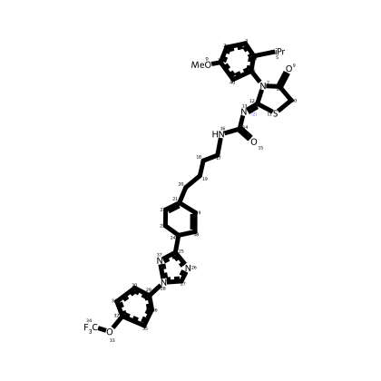 COc1ccc(C(C)C)c(N2C(=O)CS/C2=N\C(=O)NCCCCC2=CCC(c3ncn(-c4ccc(OC(F)(F)F)cc4)n3)C=C2)c1